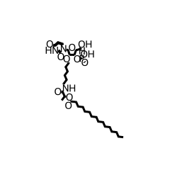 CCCCCCCCCCCCCCCC(=O)OC(C)C(=O)NCCCCCCOC1C(O[PH](=O)O)C(CO)OC1n1ccc(=O)[nH]c1=O